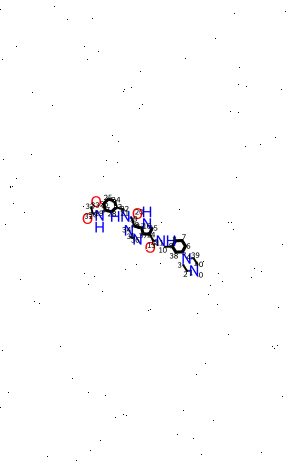 CN1CCN(c2cccc(CNC(=O)c3c[nH]c4c(C(=O)NCc5ccc6c(c5)NC(=O)CO6)ncnc34)c2)CC1